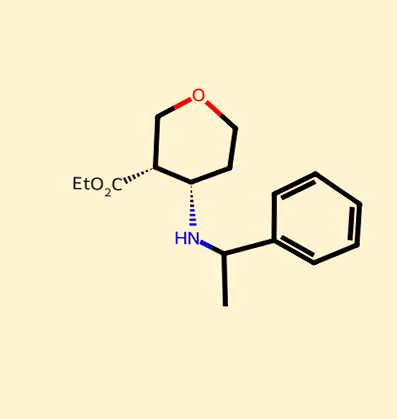 CCOC(=O)[C@@H]1COCC[C@@H]1NC(C)c1ccccc1